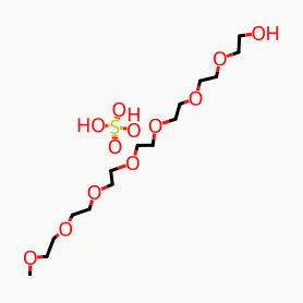 COCCOCCOCCOCCOCCOCCOCCO.O=S(=O)(O)O